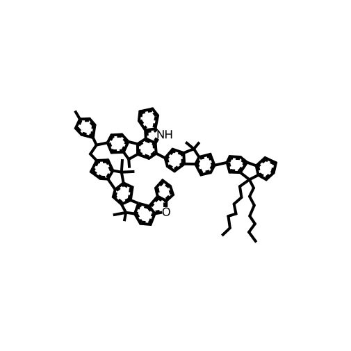 CCCCCCCC1(CCCCCCC)c2ccccc2-c2ccc(-c3ccc4c(c3)C(C)(C)c3cc(-c5cc6c(c7c5[nH]c5ccccc57)-c5ccc(C(Cc7ccc8c(c7)C(C)(C)c7cc9c(cc7-8)C(C)(C)c7ccc8oc%10ccccc%10c8c7-9)c7ccc(C)cc7)cc5C6C)ccc3-4)cc21